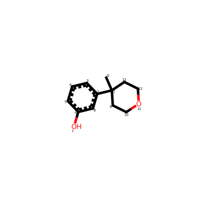 CC1(c2cccc(O)c2)CCOCC1